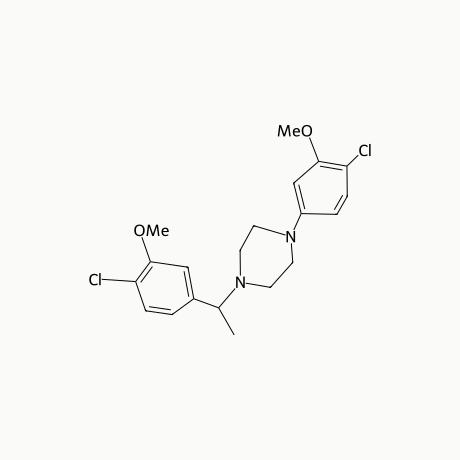 COc1cc(C(C)N2CCN(c3ccc(Cl)c(OC)c3)CC2)ccc1Cl